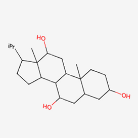 CC(C)C1CCC2C3C(O)CC4CC(O)CCC4(C)C3CC(O)C12C